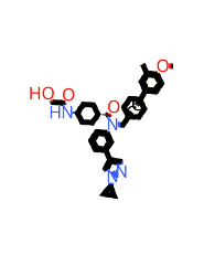 COc1ccc(C23CCC(CN(c4cccc(-c5cnn(C6CC6)c5)c4)C(=O)[C@H]4CC[C@H](NC(=O)CO)CC4)(CC2)CC3)cc1C